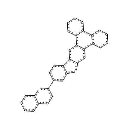 c1ccc2nc(-c3ccc4c(c3)sc3cc5c6ccccc6c6ccccc6c5cc34)ccc2c1